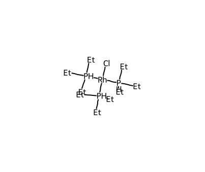 CC[PH](CC)(CC)[Rh]([Cl])([PH](CC)(CC)CC)[PH](CC)(CC)CC